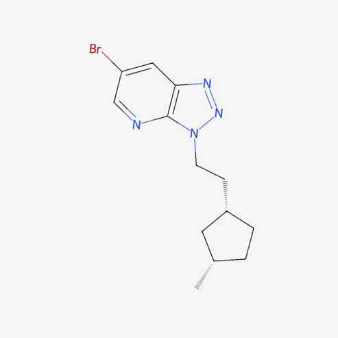 C[C@H]1CC[C@@H](CCn2nnc3cc(Br)cnc32)C1